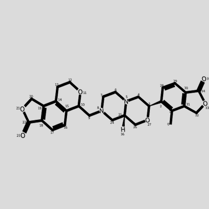 Cc1c([C@@H]2CN3CCN(CC4OCCc5c4ccc4c5COC4=O)C[C@H]3CO2)ccc2c1COC2=O